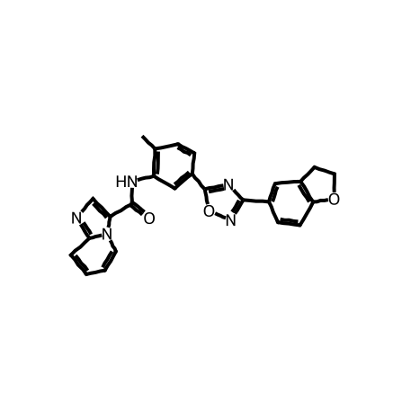 Cc1ccc(-c2nc(-c3ccc4c(c3)CCO4)no2)cc1NC(=O)c1cnc2ccccn12